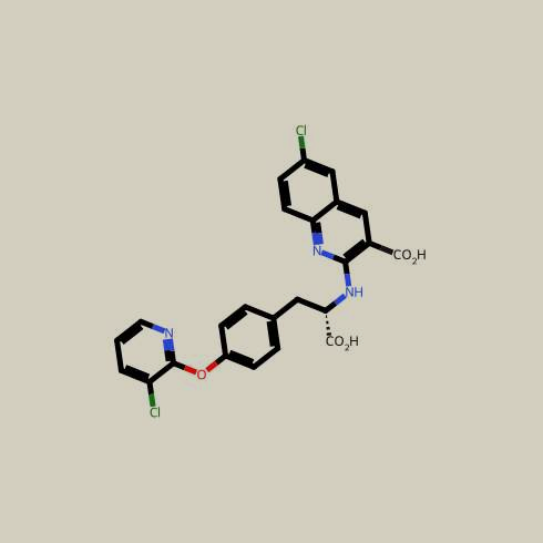 O=C(O)c1cc2cc(Cl)ccc2nc1N[C@@H](Cc1ccc(Oc2ncccc2Cl)cc1)C(=O)O